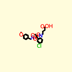 COc1ccc(CN2OCC3(O2)ON(CCCC(=O)O)c2ccc(Cl)cc23)cc1